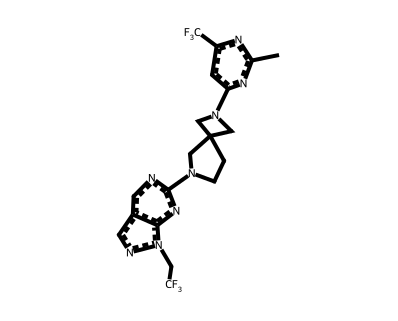 Cc1nc(N2CC3(CCN(c4ncc5cnn(CC(F)(F)F)c5n4)C3)C2)cc(C(F)(F)F)n1